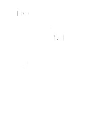 O=c1[nH]c(CCc2ccccc2)c(Cl)cc1O